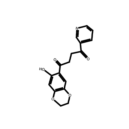 O=C(CCC(=O)c1cc2c(cc1O)OCCO2)c1cccnc1